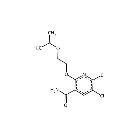 CC(C)OCCOc1nc(Cl)c(Cl)cc1C(N)=O